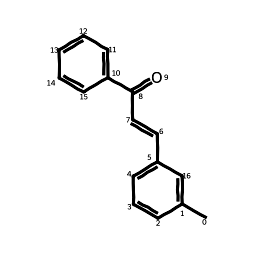 Cc1cccc(/C=C/C(=O)c2ccccc2)c1